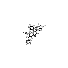 COC(=O)C(CCSC)NC(=O)c1ccc(C/C(=C\c2cncs2)CO)cc1-c1ccccc1C